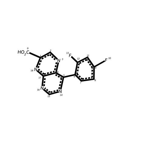 O=C(O)c1cnc2c(-c3ccc(F)cc3F)ncnc2n1